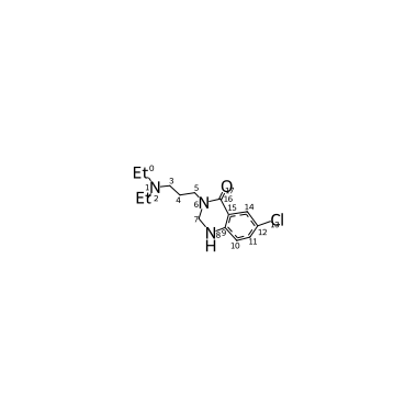 CCN(CC)CCCN1CNc2ccc(Cl)cc2C1=O